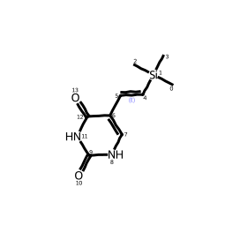 C[Si](C)(C)/C=C/c1c[nH]c(=O)[nH]c1=O